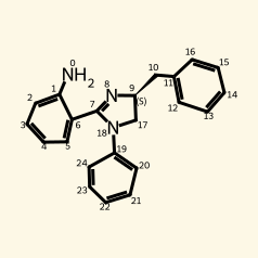 Nc1ccccc1C1=N[C@@H](Cc2ccccc2)CN1c1ccccc1